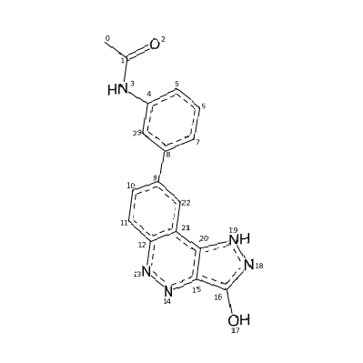 CC(=O)Nc1cccc(-c2ccc3nnc4c(O)n[nH]c4c3c2)c1